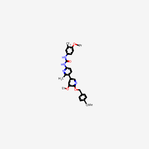 CCOc1cc(-c2ccc(NC(=O)Nc3ccc(OC(C)C)c(C(F)(F)F)c3)nc2C)cnc1OCc1ccc(OC)cc1